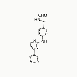 CC(NC=O)c1ccc(Nc2nccc(-c3cccnc3)n2)cc1